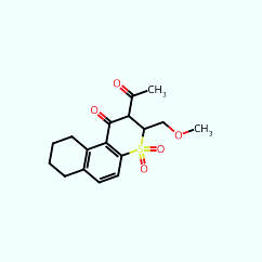 COCC1C(C(C)=O)C(=O)c2c(ccc3c2CCCC3)S1(=O)=O